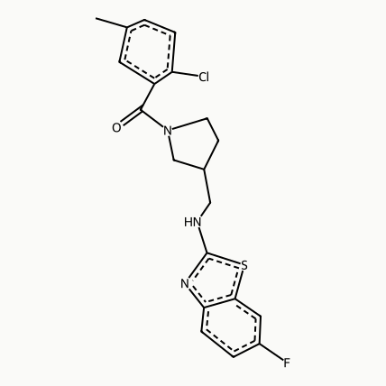 Cc1ccc(Cl)c(C(=O)N2CCC(CNc3nc4ccc(F)cc4s3)C2)c1